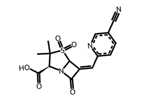 CC1(C)[C@H](C(=O)O)N2C(=O)/C(=C/c3ccc(C#N)cn3)C2S1(=O)=O